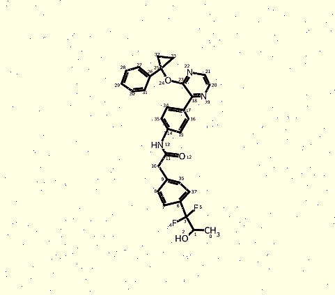 CC(O)C(F)(F)c1ccc(CC(=O)Nc2ccc(-c3nccnc3OC3(c4ccccc4)CC3)cc2)cc1